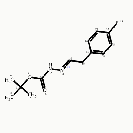 CC(C)(C)OC(=O)N/N=C/Cc1ccc(F)cc1